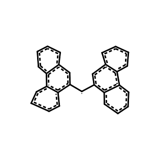 [CH](c1cc2ccccc2c2ccccc12)c1cc2ccccc2c2ccccc12